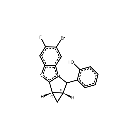 Oc1ccccc1C1[C@@H]2C[C@@H]2c2nc3cc(F)c(Br)cc3n21